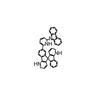 C1=CC(n2c3ccccc3c3ccccc32)NC(c2ccc3c(c2)C2(C4=C(NCC=C4)c4ccccc42)C2=C3NCC=C2)=C1